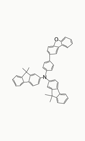 CC1(C)c2ccccc2-c2ccc(N(c3ccc(-c4ccc5oc6ccccc6c5c4)cc3)c3ccc4c(c3)C(C)(C)c3ccccc3-4)cc21